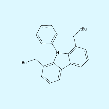 CC(C)(C)Cc1cccc2c3cccc(CC(C)(C)C)c3n(-c3ccccc3)c12